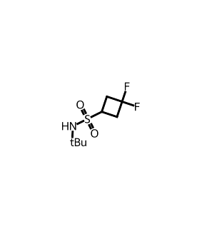 CC(C)(C)NS(=O)(=O)C1CC(F)(F)C1